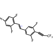 CCCc1cc(F)c(/C=C/c2cc(F)c(C#CC(F)(F)F)c(F)c2)c(F)c1